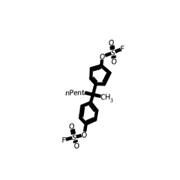 CCCCCC(C)(c1ccc(OS(=O)(=O)F)cc1)c1ccc(OS(=O)(=O)F)cc1